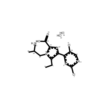 CCc1c(-c2nc(Cl)ncc2Cl)nc(C(=O)O)n1CC(C)N.Cl.Cl